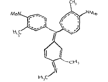 C/N=C1\C=CC(=C(c2ccc(NC)c(C)c2)c2ccc(NC)c(C)c2)C=C1C